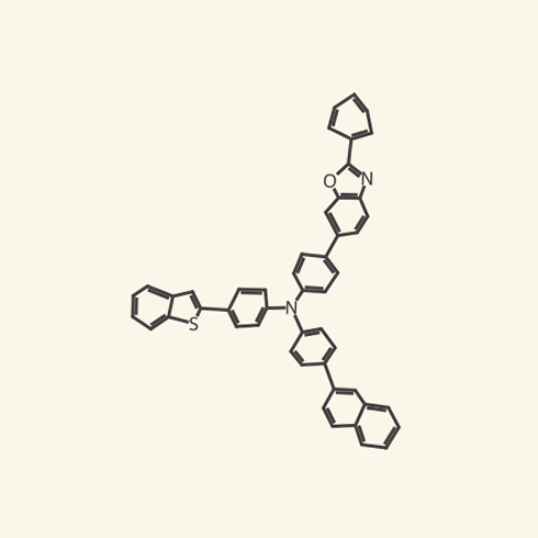 c1ccc(-c2nc3ccc(-c4ccc(N(c5ccc(-c6ccc7ccccc7c6)cc5)c5ccc(-c6cc7ccccc7s6)cc5)cc4)cc3o2)cc1